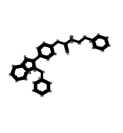 O=C(Cc1ccc(-c2nc3ccccc3n2Cc2ccccc2)cc1)NCCc1ccccc1